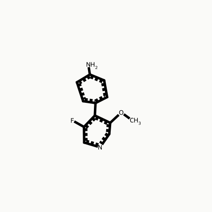 COc1cncc(F)c1-c1ccc(N)cc1